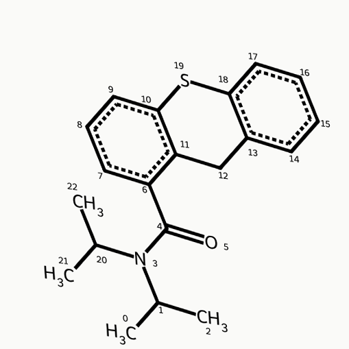 CC(C)N(C(=O)c1cccc2c1Cc1ccccc1S2)C(C)C